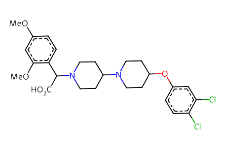 COc1ccc(C(C(=O)O)N2CCC(N3CCC(Oc4ccc(Cl)c(Cl)c4)CC3)CC2)c(OC)c1